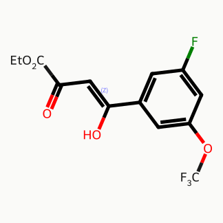 CCOC(=O)C(=O)/C=C(\O)c1cc(F)cc(OC(F)(F)F)c1